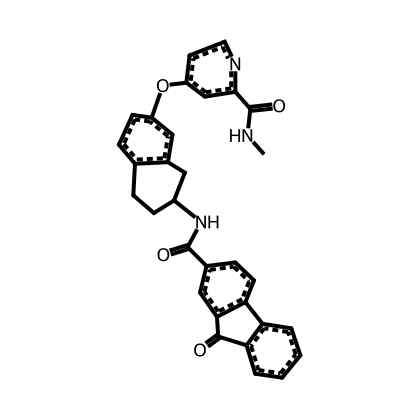 CNC(=O)c1cc(Oc2ccc3c(c2)CC(NC(=O)c2ccc4c(c2)C(=O)c2ccccc2-4)CC3)ccn1